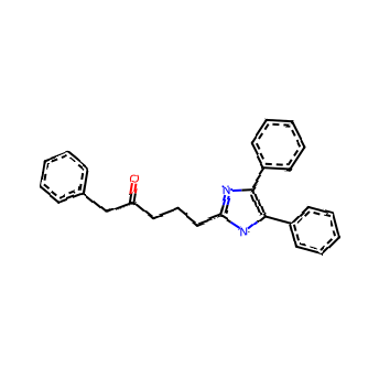 O=C(CCCC1=NC(c2ccccc2)=C(c2ccccc2)[N]1)Cc1ccccc1